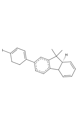 CC1(C)c2cc(C3=CC=C(I)CC3)ccc2C2C=CC=C[C@@H]21